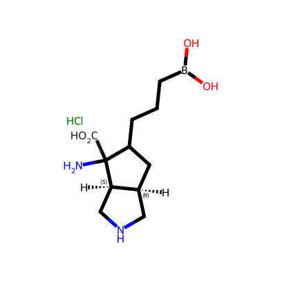 Cl.NC1(C(=O)O)C(CCCB(O)O)C[C@H]2CNC[C@H]21